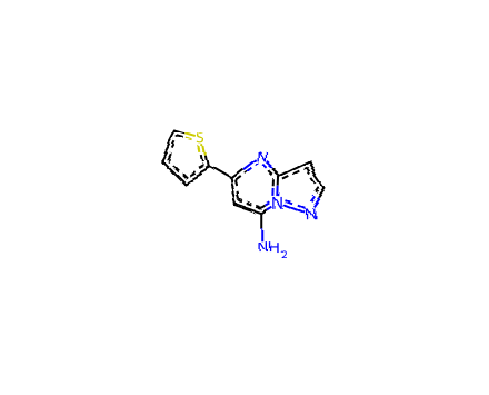 Nc1cc(-c2cccs2)nc2ccnn12